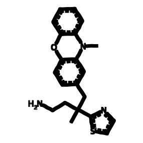 CN1c2ccccc2Oc2ccc(CC(C)(CCN)c3nccs3)cc21